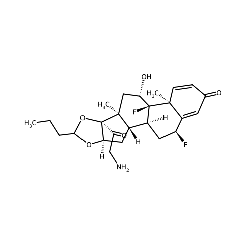 CCCC1O[C@@H]2C[C@H]3[C@@H]4C[C@H](F)C5=CC(=O)C=C[C@]5(C)[C@@]4(F)[C@@H](O)C[C@]3(C)[C@]2(C(=O)CN)O1